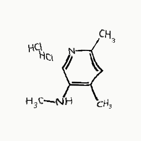 CNc1cnc(C)cc1C.Cl.Cl